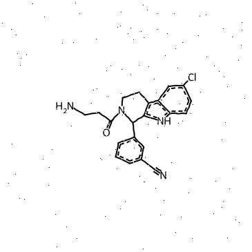 N#Cc1cccc(C2c3[nH]c4ccc(Cl)cc4c3CCN2C(=O)CCN)c1